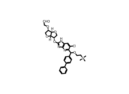 C[Si](C)(C)CCOC(c1ccc(-c2ccccc2)cc1)c1nc2nc(O[C@@H]3CO[C@H]4[C@H]3OC[C@H]4OCC=O)[nH]c2cc1Cl